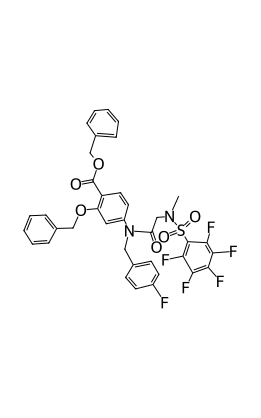 CN(CC(=O)N(Cc1ccc(F)cc1)c1ccc(C(=O)OCc2ccccc2)c(OCc2ccccc2)c1)S(=O)(=O)c1c(F)c(F)c(F)c(F)c1F